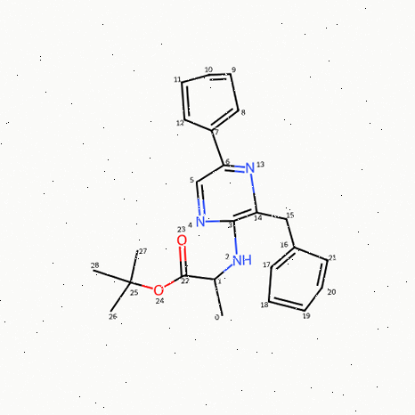 CC(Nc1ncc(-c2ccccc2)nc1Cc1ccccc1)C(=O)OC(C)(C)C